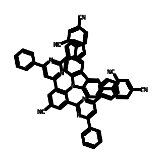 N#Cc1ccc(-c2ccc3c(c2)c2cc(-c4ccc(C#N)cc4C#N)ccc2n3-c2c(-c3cc(-c4ccccc4)nc(-c4ccccc4)n3)cc(C#N)cc2-c2nc(-c3ccccc3)cc(-c3ccccc3)n2)c(C#N)c1